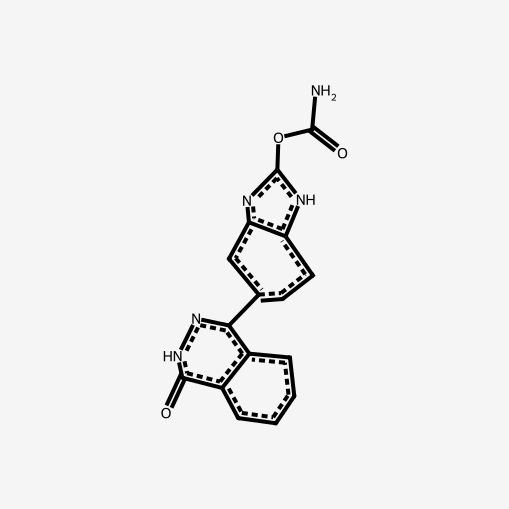 NC(=O)Oc1nc2cc(-c3n[nH]c(=O)c4ccccc34)ccc2[nH]1